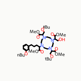 CCCCOc1cccc(CCCC(C(=O)OC)N2CCN(C(COC(C)(C)C)C(=O)OC)CCN(C(CO)C(=O)OC)CCN(C(COC(C)(C)C)C(=O)OC)CC2)c1